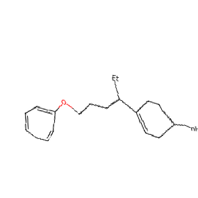 CCCCCCC1CC=C(C(CC)CCCOc2ccccc2)CC1